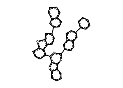 c1ccc(-c2ccc3cc(-c4nc(-c5cccc6oc7cc(-c8ccc9ccccc9c8)ccc7c56)c5sc6ccccc6c5n4)ccc3c2)cc1